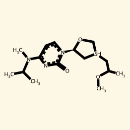 COC(C)C[SH]1CO[C@H](n2ccc(N(C)C(C)C)nc2=O)C1